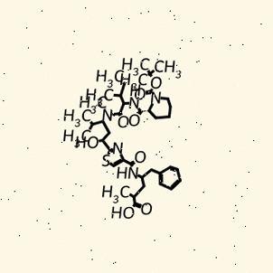 CCC(C)C(NC(=O)[C@H]1CCCCN1C(=O)OC(C)(C)C)C(=O)N(C)C(CC(O)c1nc(C(=O)NC(Cc2ccccc2)CC(C)C(=O)O)cs1)C(C)C